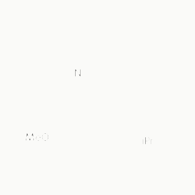 COc1cnc2cc(C)cc(C(C)C)c2c1